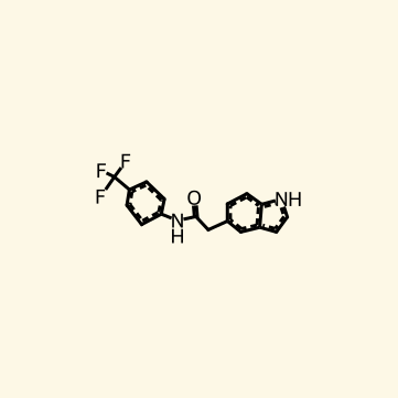 O=C(Cc1ccc2[nH]ccc2c1)Nc1ccc(C(F)(F)F)cc1